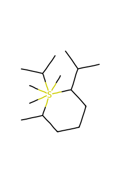 CC(C)C1CCCC(C)S1(C)(C)(C)C(C)C